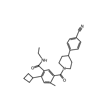 CCNC(=O)c1cc(C(=O)N2CCC(c3ccc(C#N)cc3)CC2)c(C)cc1C1CCC1